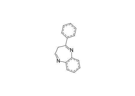 C1=Nc2ccccc2N=C(c2ccccc2)C1